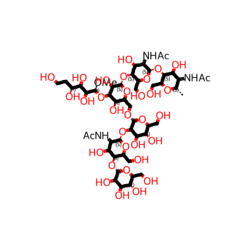 CO[C@H](OC1C(O)[C@H](O[C@@H]2C(CO)O[C@@H](O[C@@H]3C(CO)O[C@@H](C)C(NC(C)=O)C3O)C(NC(C)=O)C2O)OC(CO[C@H]2OC(CO)[C@@H](O)C(O)C2O[C@@H]2OC(CO)[C@@H](O[C@@H]3OC(CO)[C@H](O)C(O)C3O)C(O)C2NC(C)=O)[C@H]1O)C(O)C(O)[C@H](O)CCO